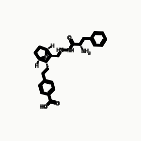 N[C@@H](Cc1ccccc1)C(=O)NNC[C@H]1[C@H](CCc2ccc(C(=O)O)cc2)[C@H]2CC[C@@H]1O2